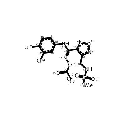 CNS(=O)(=O)NCc1nonc1C(=NOC(=O)C(F)(F)F)Nc1ccc(F)c(Cl)c1